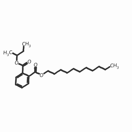 CCCCCCCCCCCOC(=O)c1ccccc1C(=O)OC(C)CC